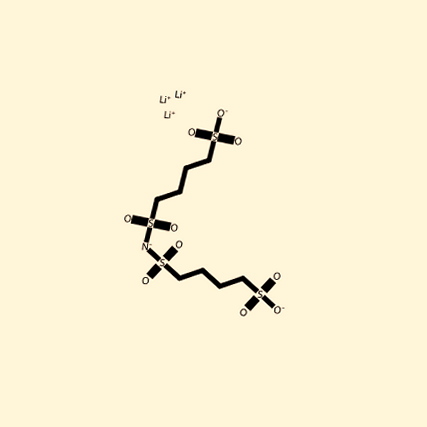 O=S(=O)([O-])CCCCS(=O)(=O)[N-]S(=O)(=O)CCCCS(=O)(=O)[O-].[Li+].[Li+].[Li+]